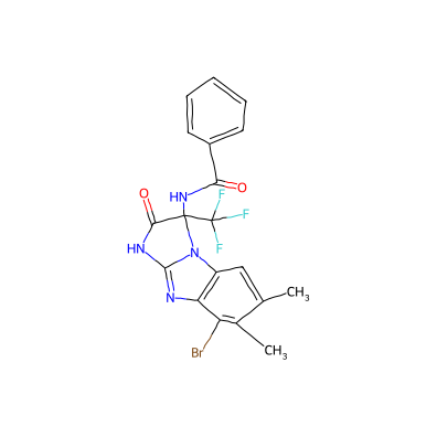 Cc1cc2c(nc3n2C(NC(=O)c2ccccc2)(C(F)(F)F)C(=O)N3)c(Br)c1C